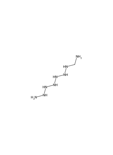 NCNNNNNNN